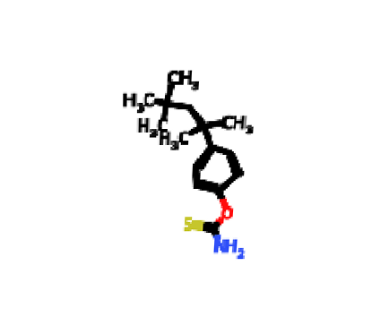 CC(C)(C)CC(C)(C)c1ccc(OC(N)=S)cc1